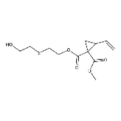 C=CC1CC1(C(=O)OC)C(=O)OCCSCCO